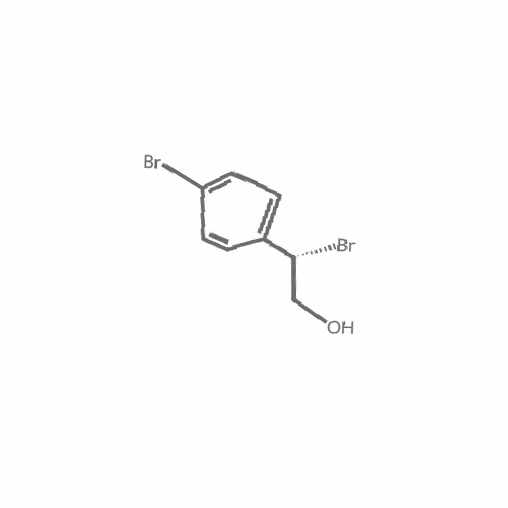 OC[C@@H](Br)c1ccc(Br)cc1